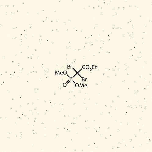 CCOC(=O)C(Br)(Br)P(=O)(OC)OC